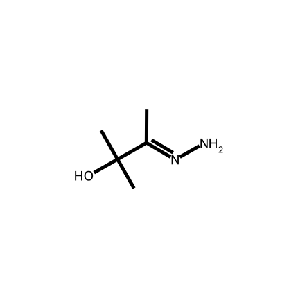 C/C(=N\N)C(C)(C)O